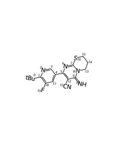 CC(C)(C)c1ncc(-c2nc3n(c(=N)c2C#N)CCCS3)cc1F